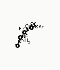 CC(=O)O[C@H]1c2ccc(N(Cc3cccc(Nc4cccc(OCc5ccccc5)c4N)c3C)C(=O)C(F)(F)F)cc2OC1C